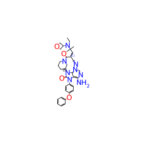 CCN(C1COC1)C(C)(C)/C=C(/C#N)C(=O)N1CCC[C@H](n2c(=O)n(-c3ccc(Oc4ccccc4)cc3)c3c(N)ncnc32)C1